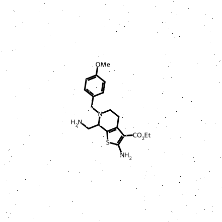 CCOC(=O)c1c(N)sc2c1CCN(Cc1ccc(OC)cc1)C2CN